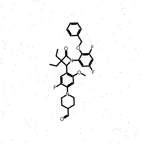 CCC1(CC)C(=O)N(c2cc(F)cc(F)c2OCc2ccccc2)C1c1cc(F)c(N2CCC(C=O)CC2)cc1OC